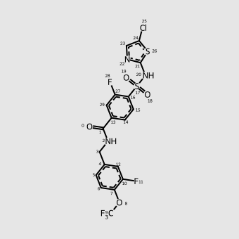 O=C(NCc1ccc(OC(F)(F)F)c(F)c1)c1ccc(S(=O)(=O)Nc2ncc(Cl)s2)c(F)c1